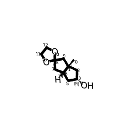 C[C@@]12C[C@H](O)C[C@@H]1CC1(C2)OCCO1